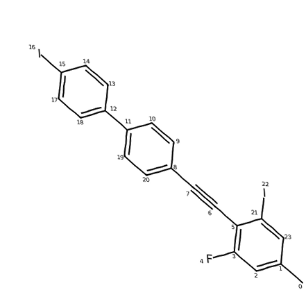 Cc1cc(F)c(C#Cc2ccc(-c3ccc(I)cc3)cc2)c(I)c1